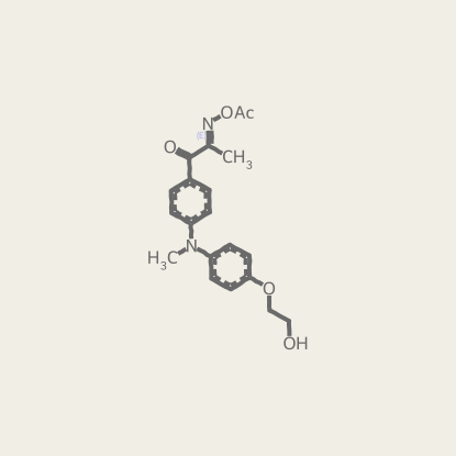 CC(=O)O/N=C(\C)C(=O)c1ccc(N(C)c2ccc(OCCO)cc2)cc1